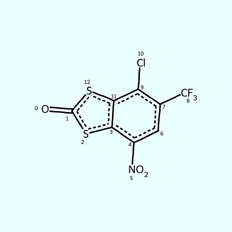 O=c1sc2c([N+](=O)[O-])cc(C(F)(F)F)c(Cl)c2s1